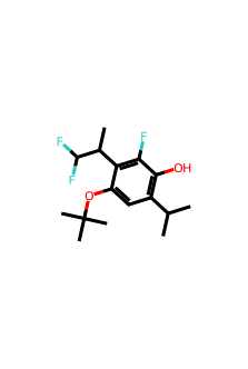 CC(C)c1cc(OC(C)(C)C)c(C(C)C(F)F)c(F)c1O